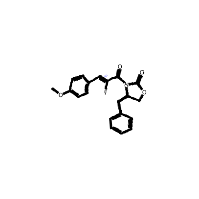 COc1ccc(/C=C(\F)C(=O)N2C(=O)OCC2Cc2ccccc2)cc1